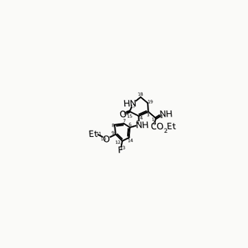 CCOC(=O)C(=N)C1=C(Nc2ccc(OCC)c(F)c2)C(=O)NCC1